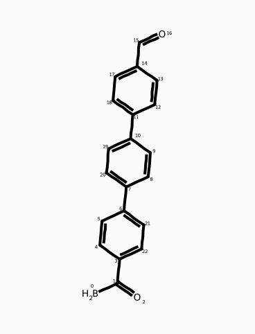 BC(=O)c1ccc(-c2ccc(-c3ccc(C=O)cc3)cc2)cc1